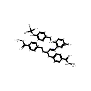 COC(=O)c1ccc(CCC(/C=C/c2cc(F)ccc2OCc2ccc(OC(F)(F)F)cc2)Cc2ccc(C(=O)OC)cc2)cc1